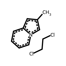 Cc1cc2ccccn2c1.ClCCCl